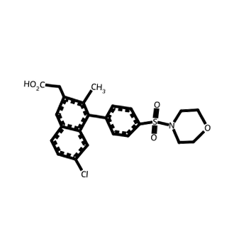 Cc1c(CC(=O)O)cc2ccc(Cl)cc2c1-c1ccc(S(=O)(=O)N2CCOCC2)cc1